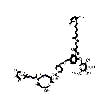 CC[C@H](O)[C@@H](C)[C@H]1O[C@@H]1CC(C)(O)/C=C/C=C(\C)[C@H]1OC(=O)C[C@H](O)CC[C@@](C)(OC(C)=O)[C@@H](OC(=O)N2CCN(COCc3ccc(O[C@@H]4O[C@H](C(=O)O)[C@@H](O)[C@H](O)[C@H]4O)c(NC(=O)CCNC(=O)CCCCCN4C(=O)C=CC4O)c3)CC2)/C=C/[C@@H]1C